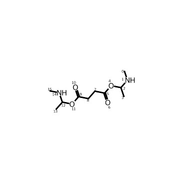 CNC(C)OC(=O)CCC(=O)OC(C)NC